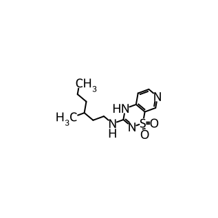 CCCC(C)CCNC1=NS(=O)(=O)c2cnccc2N1